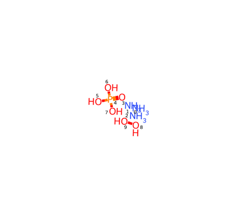 N.N.N.O=P(O)(O)O.OO